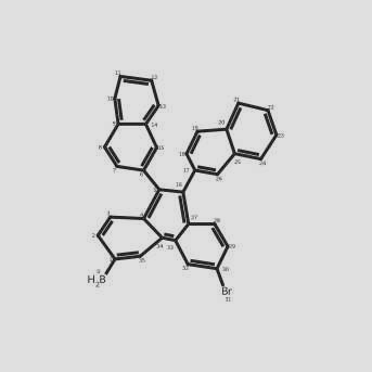 Bc1ccc2c(-c3ccc4ccccc4c3)c(-c3ccc4ccccc4c3)c3ccc(Br)cc3c2c1